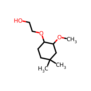 COC1CC(C)(C)CCC1OCCO